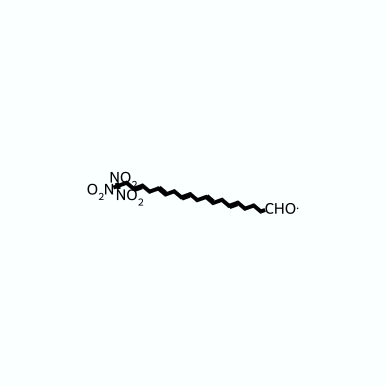 O=[C]CCCC=CCC=CCC=CCC=CCC=CCC([N+](=O)[O-])([N+](=O)[O-])[N+](=O)[O-]